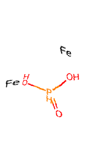 O=[PH](O)O.[Fe].[Fe]